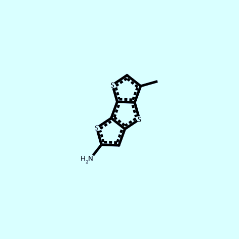 Cc1csc2c1sc1cc(N)sc12